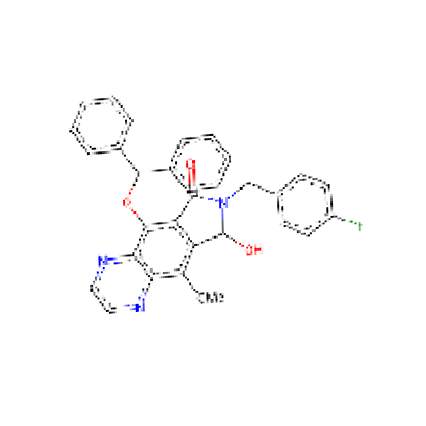 COc1c2c(c(OC(c3ccccc3)c3ccccc3)c3nccnc13)C(=O)N(Cc1ccc(F)cc1)C2O